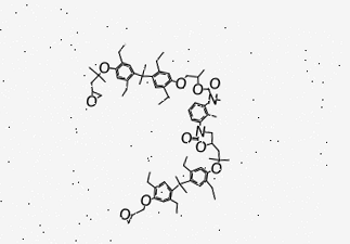 CCc1cc(C(C)(C)c2cc(CC)c(OC(C)(C)CC3CO3)cc2CC)c(CC)cc1OCC(C)OC(=O)N(C)c1cccc(N2CC(CC(C)(C)Oc3cc(CC)c(C(C)(C)c4cc(CC)c(OCC5CO5)cc4CC)cc3CC)OC2=O)c1C